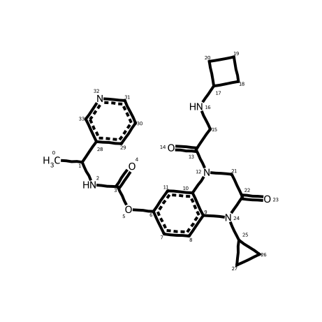 CC(NC(=O)Oc1ccc2c(c1)N(C(=O)CNC1CCC1)CC(=O)N2C1CC1)c1cccnc1